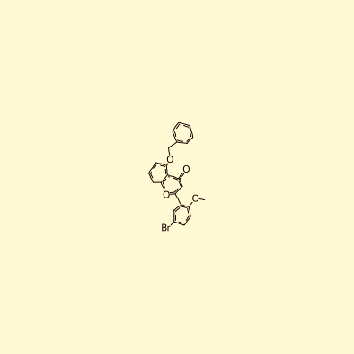 COc1ccc(Br)cc1-c1cc(=O)c2c(OCc3ccccc3)cccc2o1